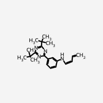 C=C/C=C\Nc1cccc(-c2nc(C(C)(C)C)nc(C(C)(C)C)n2)c1